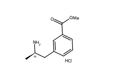 COC(=O)c1cccc(C[C@@H](C)N)c1.Cl